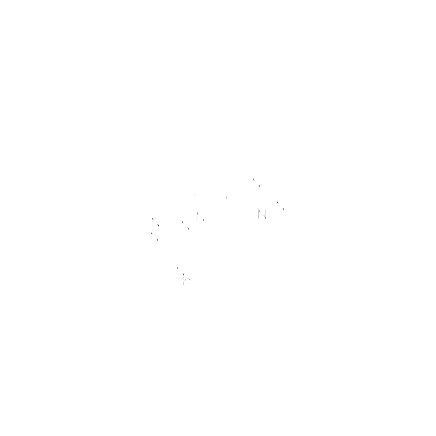 Cc1cc(-c2nnc3cc(-c4cccs4)c(OCc4ncnn4C)nn23)no1